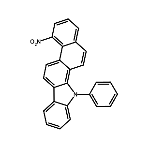 O=[N+]([O-])c1cccc2ccc3c(ccc4c5ccccc5n(-c5ccccc5)c34)c12